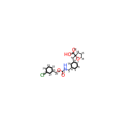 O=C(NCc1cccc(CC2(C(=O)O)CCCO2)c1)OCc1cccc(Cl)c1